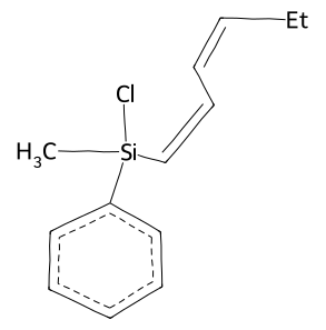 CC/C=C\C=C/[Si](C)(Cl)c1ccccc1